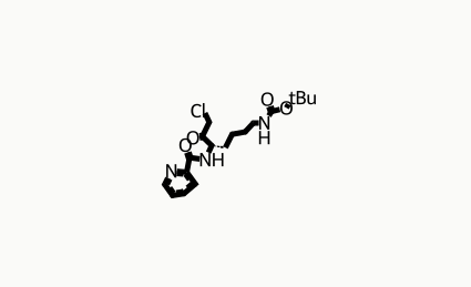 CC(C)(C)OC(=O)NCCCC[C@H](NC(=O)c1ccccn1)C(=O)CCl